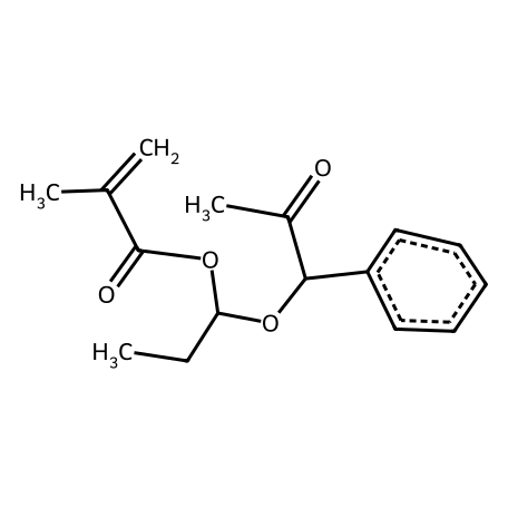 C=C(C)C(=O)OC(CC)OC(C(C)=O)c1ccccc1